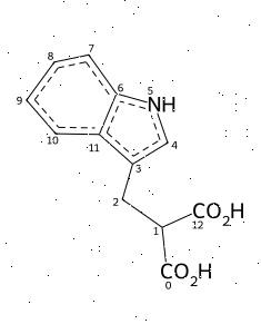 O=C(O)C(Cc1c[nH]c2ccccc12)C(=O)O